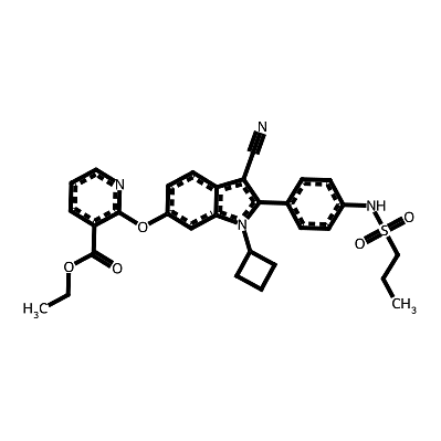 CCCS(=O)(=O)Nc1ccc(-c2c(C#N)c3ccc(Oc4ncccc4C(=O)OCC)cc3n2C2CCC2)cc1